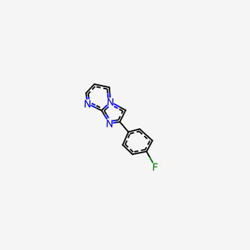 Fc1ccc(-c2cn3cccnc3n2)cc1